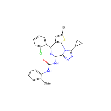 CCc1cc2c(s1)-n1c(C3CC3)nnc1C(NC(=O)Nc1ccccc1OC)N=C2c1ccccc1Cl